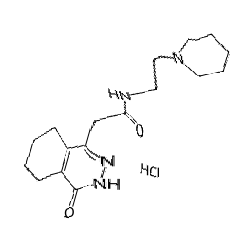 Cl.O=C(Cc1n[nH]c(=O)c2c1CCCC2)NCCN1CCCCC1